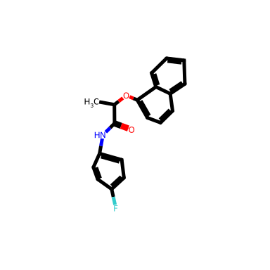 CC(Oc1cccc2ccccc12)C(=O)Nc1ccc(F)cc1